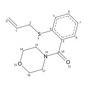 C=CCSc1ccccc1C(=O)N1CCOCC1